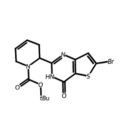 CC(C)(C)OC(=O)N1CC=CCC1c1nc2cc(Br)sc2c(=O)[nH]1